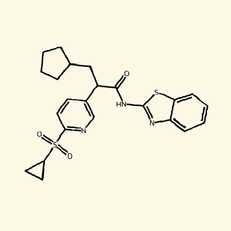 O=C(Nc1nc2ccccc2s1)C(CC1CCCC1)c1ccc(S(=O)(=O)C2CC2)nc1